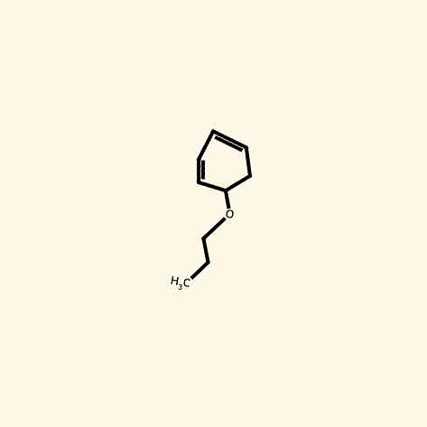 CCCO[C]1C=CC=CC1